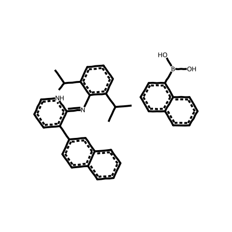 CC(C)c1cccc(C(C)C)c1N=c1[nH]cccc1-c1ccc2ccccc2c1.OB(O)c1cccc2ccccc12